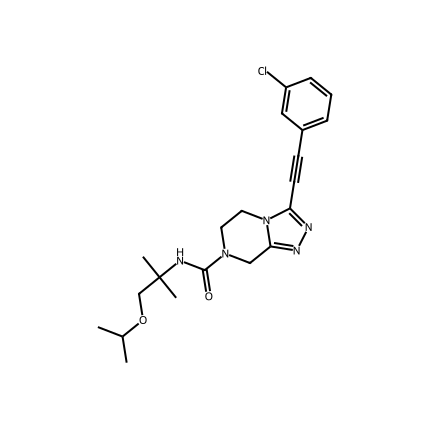 CC(C)OCC(C)(C)NC(=O)N1CCn2c(C#Cc3cccc(Cl)c3)nnc2C1